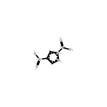 O=[N+]([O-])c1[c]nn([N+](=O)[O-])c1